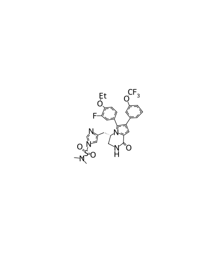 CCOc1ccc(-c2c(-c3cccc(OC(F)(F)F)c3)cc3n2[C@@H](Cc2cn(S(=O)(=O)N(C)C)cn2)CNC3=O)cc1F